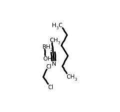 BO.CC#N.CCCCCC.ClCCl